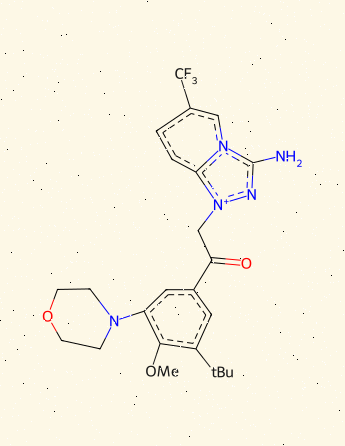 COc1c(N2CCOCC2)cc(C(=O)C[n+]2nc(N)n3cc(C(F)(F)F)ccc32)cc1C(C)(C)C